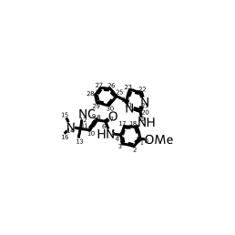 COc1ccc(NC(=O)C(C#N)=CC(C)(C)N(C)C)cc1Nc1nccc(-c2ccccc2)n1